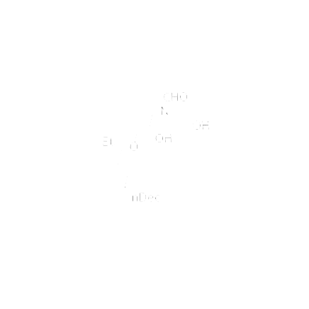 CCCCCCCCCCCCCC(CC)OCC(O)CN(C=O)CCO